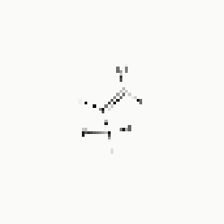 F/C(S)=C(/F)C(F)(F)F